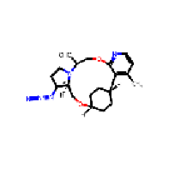 Cc1ccnc2c1[C@H]1CC[C@H](CC1)OC[C@H]1C(N=[N+]=[N-])CCN1C(C=O)CO2